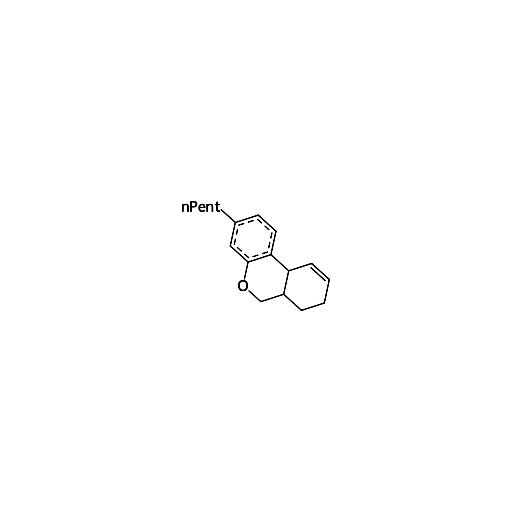 CCCCCc1ccc2c(c1)OCC1CCC=CC21